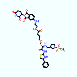 CS(=O)(=O)N1CCC(CN[C@@H](COCCCC(=O)NCCNc2ccc3c(c2)C(=O)N(C2CCC(=O)NC2=O)C3=O)C(=O)NC2NC(c3ccccc3)CS2)C1